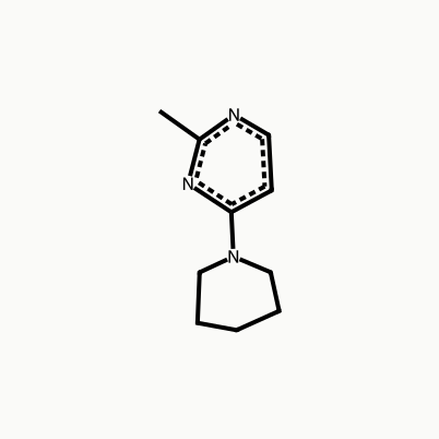 Cc1nccc(N2CCCCC2)n1